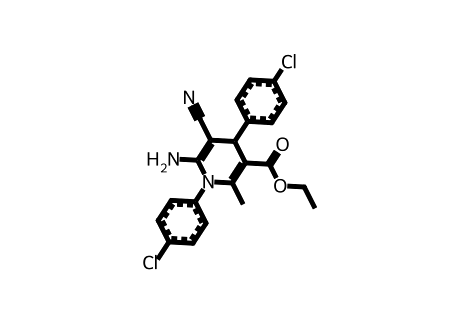 CCOC(=O)C1=C(C)N(c2ccc(Cl)cc2)C(N)=C(C#N)C1c1ccc(Cl)cc1